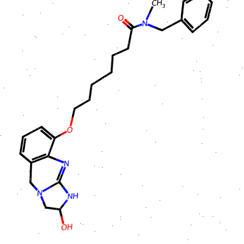 CN(Cc1ccccc1)C(=O)CCCCCCOc1cccc2c1N=C1NC(O)CN1C2